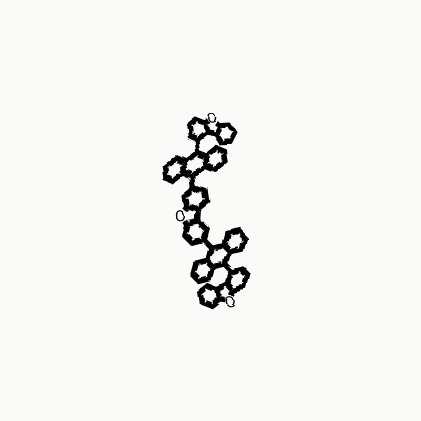 c1ccc2c(c1)oc1cccc(-c3c4ccccc4c(-c4ccc5c(c4)oc4ccc(-c6c7ccccc7c(-c7cccc8oc9ccccc9c78)c7ccccc67)cc45)c4ccccc34)c12